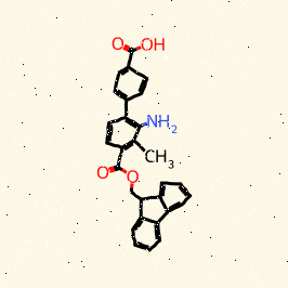 Cc1c(C(=O)OCC2c3ccccc3-c3ccccc32)ccc(-c2ccc(C(=O)O)cc2)c1N